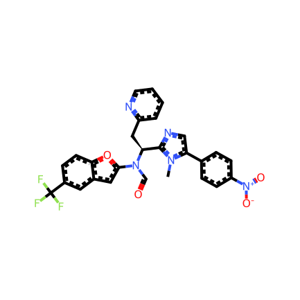 Cn1c(-c2ccc([N+](=O)[O-])cc2)cnc1[C@H](Cc1ccccn1)N(C=O)c1cc2cc(C(F)(F)F)ccc2o1